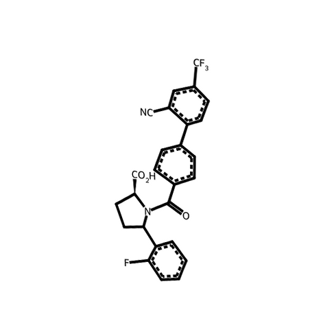 N#Cc1cc(C(F)(F)F)ccc1-c1ccc(C(=O)N2C(c3ccccc3F)CC[C@H]2C(=O)O)cc1